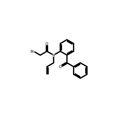 C=CCN(C(=O)CBr)c1ccccc1C(=O)c1ccccc1